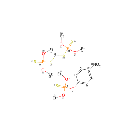 CCOP(=S)(OCC)Oc1ccc([N+](=O)[O-])cc1.CCOP(=S)(OCC)SCSP(=S)(OCC)OCC